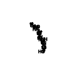 Cc1cc(-c2ccnc(Nc3ccc(N4CCC(CO)CC4)nc3)n2)ccc1CNC(=O)N1CC(OC(C)C)C1